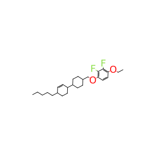 CCCCCC1C=CC(C2CCC(COc3ccc(OCC)c(F)c3F)CC2)CC1